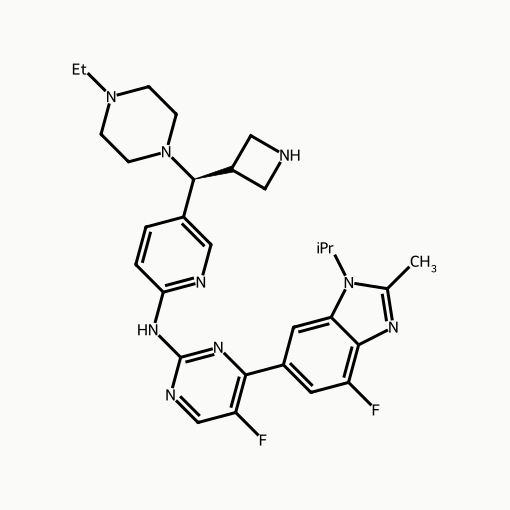 CCN1CCN([C@H](c2ccc(Nc3ncc(F)c(-c4cc(F)c5nc(C)n(C(C)C)c5c4)n3)nc2)C2CNC2)CC1